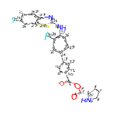 O=C(OC(=O)[C@@H]1CCCN1)c1ccc(-c2ccc(Nc3nc4ccc(F)cc4s3)c(F)c2)cc1